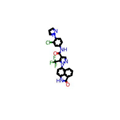 O=C(Nc1ccc(-n2cccn2)c(Cl)c1)c1cnn(-c2ccc3c4c(cccc24)C(=O)N3)c1C(F)(F)F